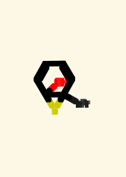 CCCC12C=CC=CC1(O)S2